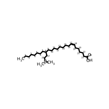 CCCCCCCCC(CCCCCCCC/C=C\CCCCCC(=O)O)CCN(C)C